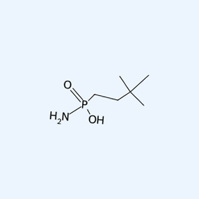 CC(C)(C)CCP(N)(=O)O